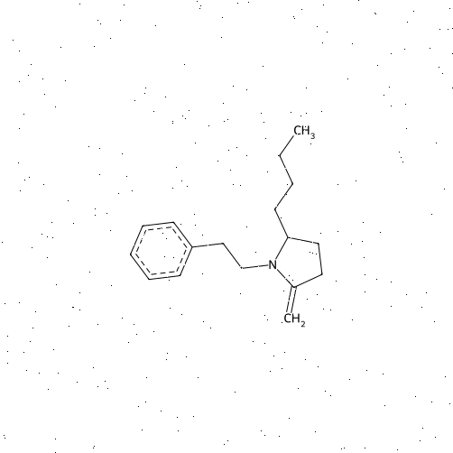 C=C1CCC(CCCC)N1CCc1ccccc1